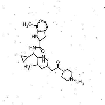 Cc1cccc2c1NC(C(=O)NC(C1CC1)C1NCC(CC(=O)N3CCN(C)CC3)CC1C)C2